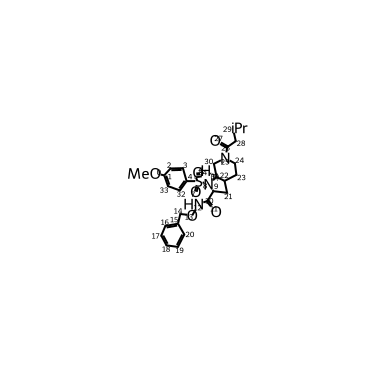 COc1ccc(S(=O)(=O)N2C(C(=O)NOCc3ccccc3)CC3CCN(C(=O)CC(C)C)C[C@@H]32)cc1